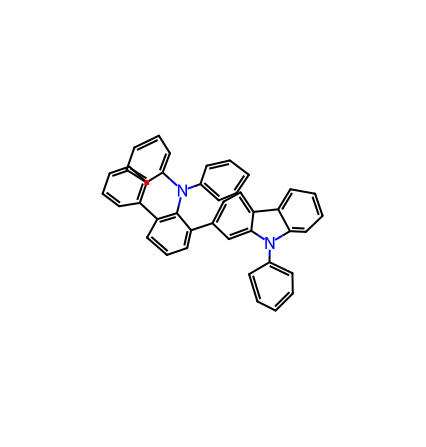 c1ccc(-c2cccc(-c3ccc4c5ccccc5n(-c5ccccc5)c4c3)c2N(c2ccccc2)c2ccccc2)cc1